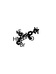 CC[C@@]1(F)C[C@@H](C(=O)Nc2cccc(Br)n2)N(C(=O)Cn2nc(C(C)=O)c3cc(-c4cnc(C)nc4)ccc32)C1